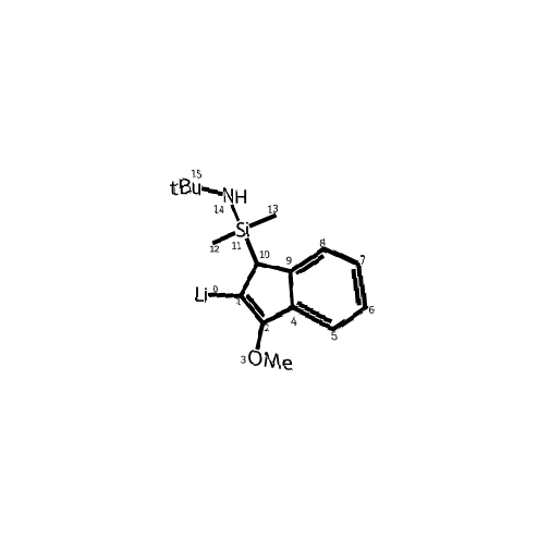 [Li][C]1=C(OC)c2ccccc2C1[Si](C)(C)NC(C)(C)C